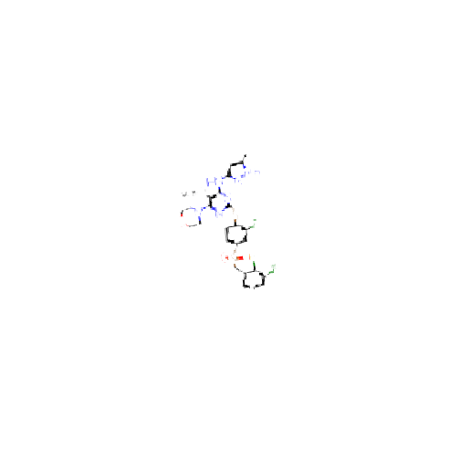 COc1c(Nc2cc(C)[nH]n2)nc(Sc2ccc(S(=O)(=O)Cc3cccc(F)c3F)cc2F)nc1N1CCOCC1